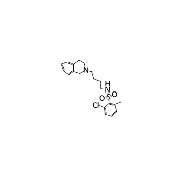 Cc1cccc(Cl)c1S(=O)(=O)NCCCCN1CCc2ccccc2C1